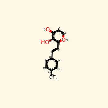 O=c1ccoc(C=Cc2ccc(C(F)(F)F)cc2)c1O